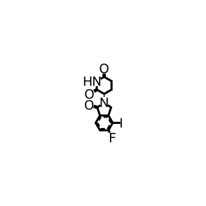 O=C1CC[C@H](N2Cc3c(ccc(F)c3I)C2=O)C(=O)N1